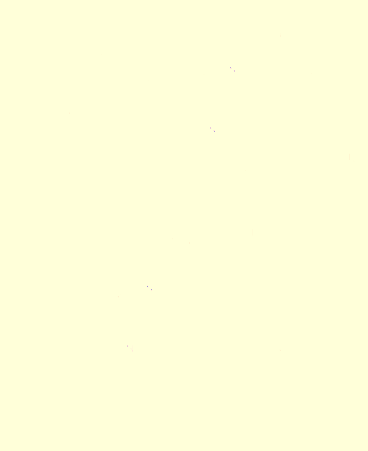 CCN1C(=O)C(Cc2ccccc2)N=C(c2ccccc2)c2cc(OC)c(OC)cc21.CCN1C(=O)C(Cc2ccccc2OC)N=C(c2ccccc2)c2cc(OC)c(OC)cc21